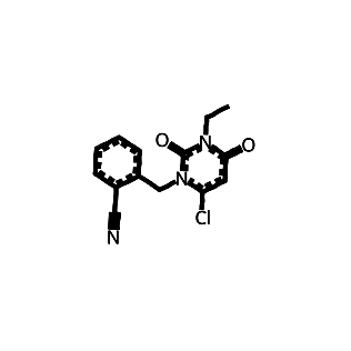 CCn1c(=O)cc(Cl)n(Cc2ccccc2C#N)c1=O